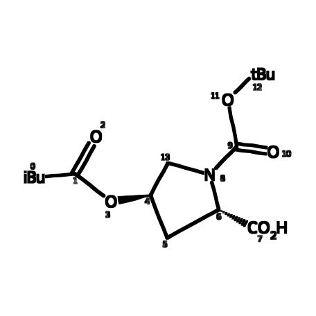 CCC(C)C(=O)O[C@@H]1C[C@@H](C(=O)O)N(C(=O)OC(C)(C)C)C1